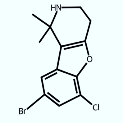 CC1(C)NCCc2oc3c(Cl)cc(Br)cc3c21